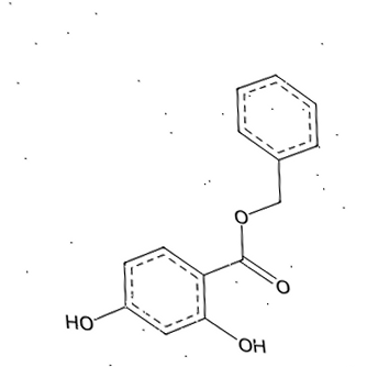 O=C(OCc1ccccc1)c1ccc(O)cc1O